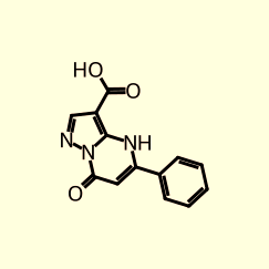 O=C(O)c1cnn2c(=O)cc(-c3ccccc3)[nH]c12